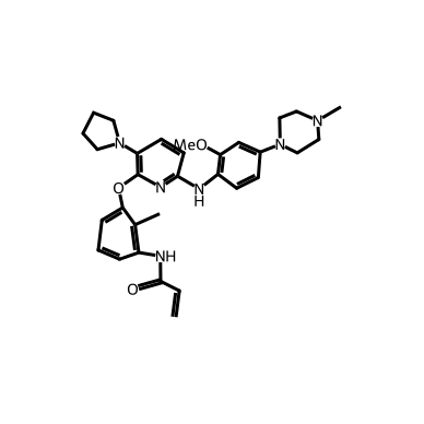 C=CC(=O)Nc1cccc(Oc2nc(Nc3ccc(N4CCN(C)CC4)cc3OC)ccc2N2CCCC2)c1C